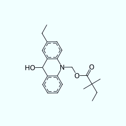 CCc1ccc2c(c1)C(O)c1ccccc1N2COC(=O)C(C)(C)CC